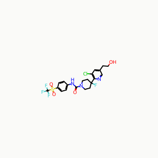 O=C(Nc1ccc(S(=O)(=O)C(F)(F)F)cc1)N1CCC(F)(c2ncc(CCO)cc2Cl)CC1